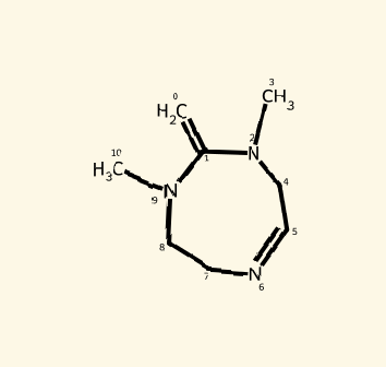 C=C1N(C)C/C=N\CCN1C